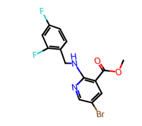 COC(=O)c1cc(Br)cnc1NCc1ccc(F)cc1F